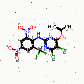 C=C(C)Oc1nc(Nc2c([N+](=O)[O-])cc([N+](=O)[O-])cc2C(F)(F)F)nc(Cl)c1Br